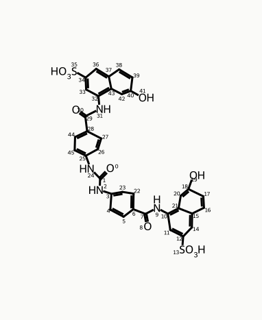 O=C(Nc1ccc(C(=O)Nc2cc(S(=O)(=O)O)cc3ccc(O)cc23)cc1)Nc1ccc(C(=O)Nc2cc(S(=O)(=O)O)cc3ccc(O)cc23)cc1